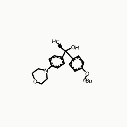 C#CC(O)(c1ccc(OCCCC)cc1)c1ccc(N2CCOCC2)cc1